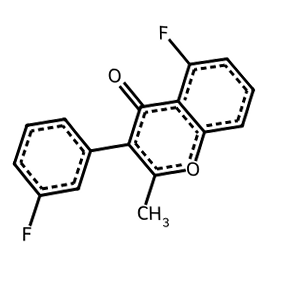 Cc1oc2cccc(F)c2c(=O)c1-c1cccc(F)c1